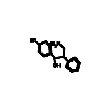 NCC(c1ccccc1)C(O)c1ccc(Br)cc1